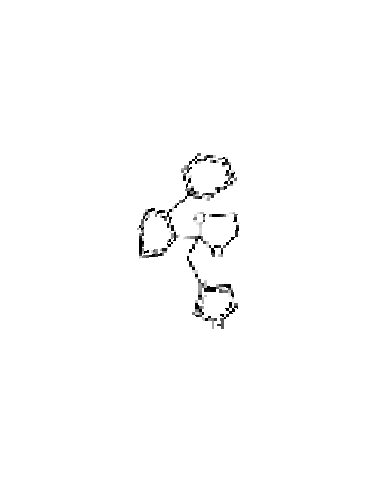 c1ccc(-c2ccccc2C2(Cn3ccnc3)OCCO2)cc1